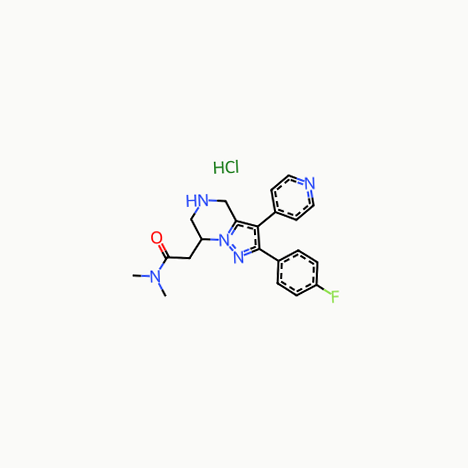 CN(C)C(=O)CC1CNCc2c(-c3ccncc3)c(-c3ccc(F)cc3)nn21.Cl